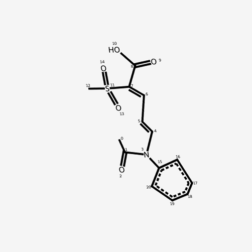 CC(=O)N(/C=C/C=C(/C(=O)O)S(C)(=O)=O)c1ccccc1